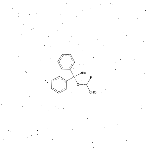 CC(C)(C)[Si](OC(F)C=O)(c1ccccc1)c1ccccc1